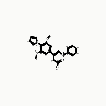 COc1cc(C(=CNc2ccccc2)CC(=O)O)cc(OC)c1-n1cccc1